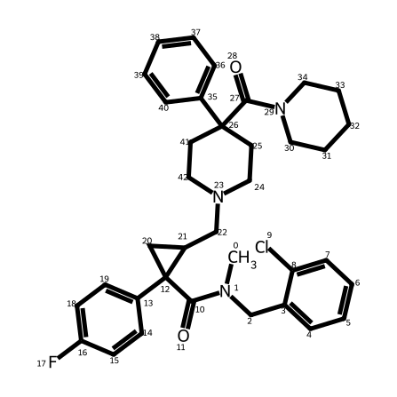 CN(Cc1ccccc1Cl)C(=O)C1(c2ccc(F)cc2)CC1CN1CCC(C(=O)N2CCCCC2)(c2ccccc2)CC1